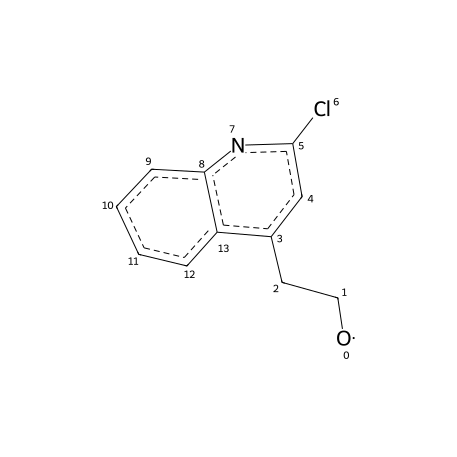 [O]CCc1cc(Cl)nc2ccccc12